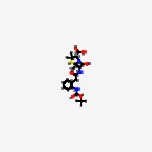 CC(C)(C)OC(=O)Nc1ccccc1CC(=O)NC1C(=O)N2[C@@H]1SC(C)(C)[C@@H]2C(=O)O